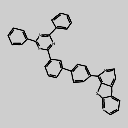 c1ccc(-c2nc(-c3ccccc3)nc(-c3cccc(-c4ccc(-c5nccc6c5sc5ncccc56)cc4)c3)n2)cc1